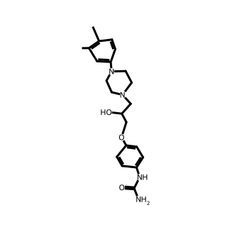 Cc1ccc(N2CCN(CC(O)COc3ccc(NC(N)=O)cc3)CC2)cc1C